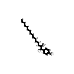 CCCCCCCCCCCCCCC(Br)C(=O)c1ccc(Cl)cc1